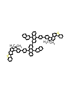 CC1(C)c2cc(-c3ccc(-c4c5ccccc5c(-c5ccc6ccccc6c5)c5cc(-c6ccc7c(-c8ccc(-c9ccc%10c(c9)C(C)(C)c9ccc%11c(ccc%12sc%13c(c%12%11)CCC=C%13)c9-%10)cc8)c8ccccc8c(-c8ccc9ccccc9c8)c7c6)ccc45)cc3)ccc2-c2c1ccc1cc3sc4ccccc4c3cc21